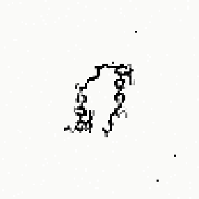 CCOc1cc(-c2ccc(N3CCN(C(=O)CCC#CCC4CC4CCOc4cc(-c5ccc(N6CCN(C(=O)CC(O)CC#CCN(C)C)CC6)nc5)c5c(C#N)cnn5c4)CC3)nc2)c2c(C#N)cnn2c1